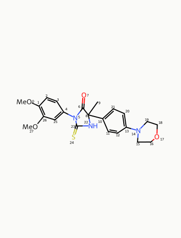 COc1ccc(N2C(=O)C(C)(c3ccc(N4CCOCC4)cc3)NC2=S)cc1OC